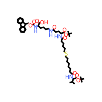 CC(C)C(NC(=O)CCCCCCCSCCCCCC(=O)NC(CCC(=O)NCCCCC(NC(=O)OCC1c2ccccc2-c2ccccc21)C(=O)O)C(=O)OC(C)(C)C)C(=O)OC(C)(C)C